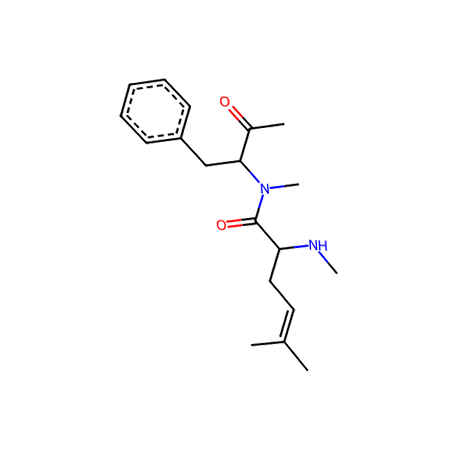 CNC(CC=C(C)C)C(=O)N(C)C(Cc1ccccc1)C(C)=O